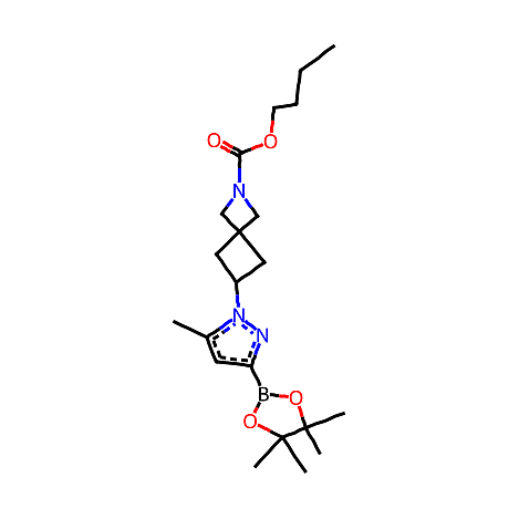 CCCCOC(=O)N1CC2(CC(n3nc(B4OC(C)(C)C(C)(C)O4)cc3C)C2)C1